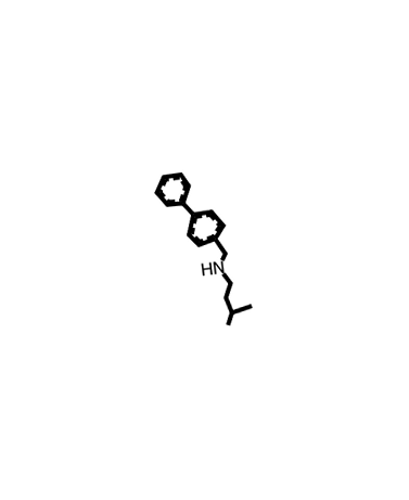 CC(C)CCNCc1ccc(-c2ccccc2)cc1